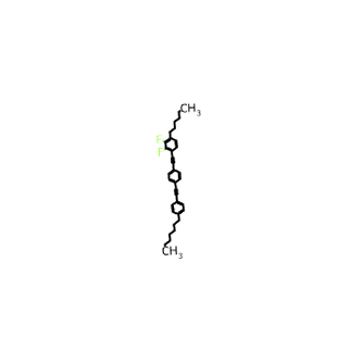 CCCCCCCc1ccc(C#Cc2ccc(C#Cc3ccc(CCCCCC)c(F)c3F)cc2)cc1